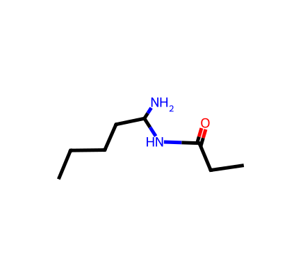 CCCCC(N)NC(=O)CC